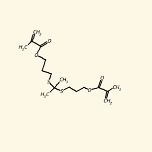 C=C(C)C(=O)OCCCSC(C)(C)SCCCOC(=O)C(=C)C